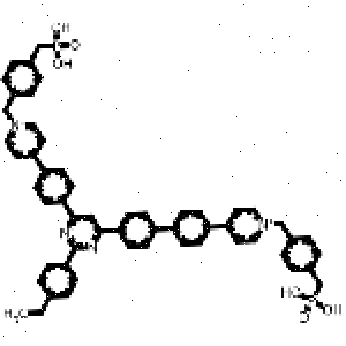 CCc1ccc(-c2nc(-c3ccc(-c4ccc(-c5cc[n+](Cc6ccc(CP(=O)(O)O)cc6)cc5)cc4)cc3)cc(-c3ccc(-c4cc[n+](Cc5ccc(CP(=O)(O)O)cc5)cc4)cc3)n2)cc1